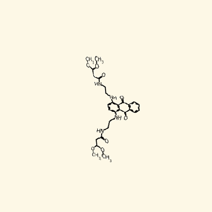 COC(CC(=O)NCCNc1ccc(NCCNC(=O)CC(OC)OC)c2c1C(=O)c1ccccc1C2=O)OC